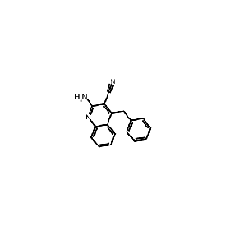 N#Cc1c(N)nc2ccccc2c1Cc1ccccc1